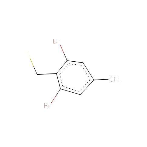 Cc1cc(Br)c(C[S])c(Br)c1